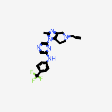 C=CCN1CCc2c(nc(C)n2-c2cncc(Nc3ccc(C(F)(F)F)cc3)n2)C1